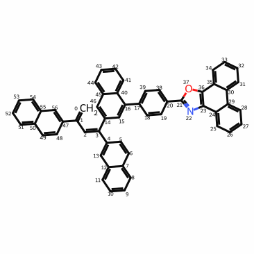 C=C(/C=C(/c1ccc2ccccc2c1)c1cc(-c2ccc(-c3nc4c5ccccc5c5ccccc5c4o3)cc2)c2ccccc2c1)c1ccc2ccccc2c1